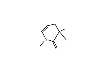 C=C1N(C)C=CCC1(C)C